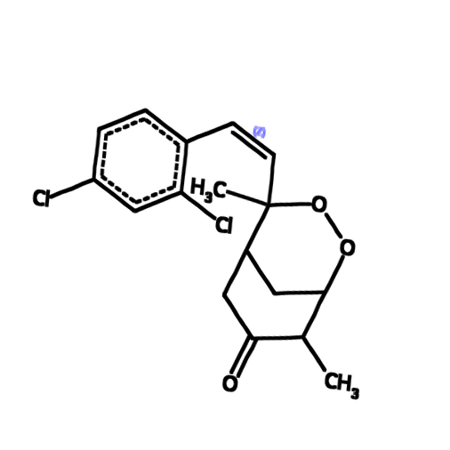 CC1C(=O)CC2CC1OOC2(C)/C=C\c1ccc(Cl)cc1Cl